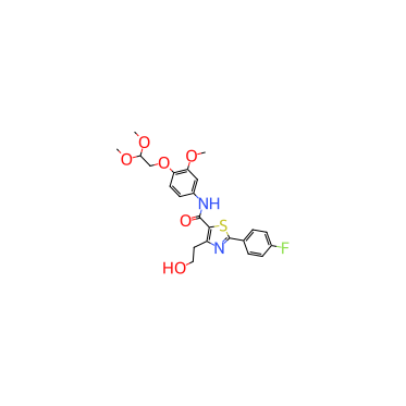 COc1cc(NC(=O)c2sc(-c3ccc(F)cc3)nc2CCO)ccc1OCC(OC)OC